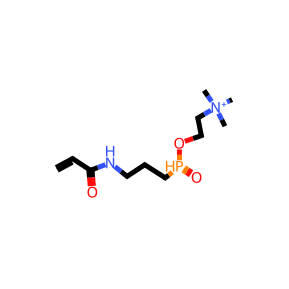 C=CC(=O)NCCC[PH](=O)OCC[N+](C)(C)C